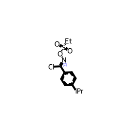 CCS(=O)(=O)O/N=C(\Cl)c1ccc(C(C)C)cc1